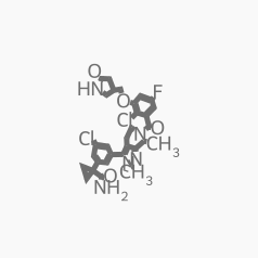 CC1c2nn(C)c(-c3cc(Cl)cc(C4(C(N)=O)CC4)c3)c2CCN1C(=O)c1cc(F)cc(OCC2CNC(=O)C2)c1Cl